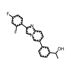 CC(O)c1cccc(-c2ccc3nc(-c4ccc(F)cc4F)cn3c2)c1